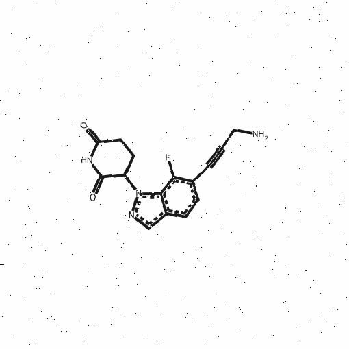 NCC#Cc1ccc2cnn(C3CCC(=O)NC3=O)c2c1F